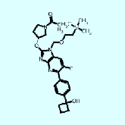 CC(=O)N1CC[C@@H](Oc2nc3nc(-c4ccc(C5(O)CCC5)cc4)c(Cl)cc3n2COCC[Si](C)(C)C)C1